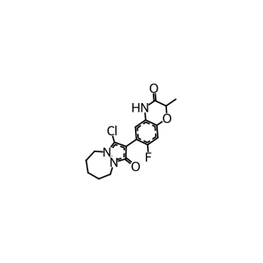 CC1Oc2cc(F)c(-c3c(Cl)n4n(c3=O)CCCCC4)cc2NC1=O